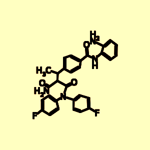 CC(c1ccc(C(=O)Nc2ccccc2N)cc1)C(C(N)=O)C(=O)N(c1ccc(F)cc1)c1ccc(F)cc1